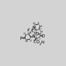 O=C(O)[C@H](CS(=O)(=O)Cc1cccnc1)N(CC(F)(F)F)c1ccc(F)cc1